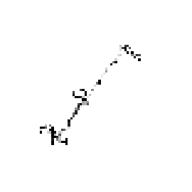 CCCCCCCCCCCCCCCCCCCCCC(=O)NCCCCCCN(O)O